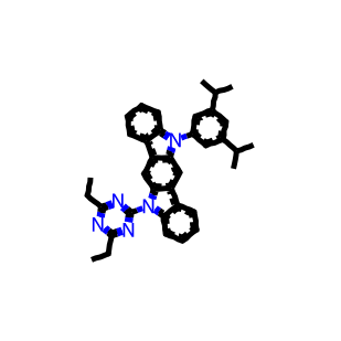 CCc1nc(CC)nc(-n2c3ccccc3c3cc4c(cc32)c2ccccc2n4-c2cc(C(C)C)cc(C(C)C)c2)n1